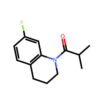 CC(C)C(=O)N1CCCc2ccc(F)cc21